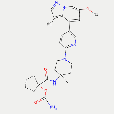 CCOc1cc(-c2ccc(N3CCC(C)(NC(=O)C4(OC(N)=O)CCCC4)CC3)nc2)c2c(C#N)cnn2c1